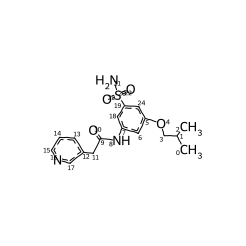 CC(C)COc1cc(NC(=O)Cc2cccnc2)cc(S(N)(=O)=O)c1